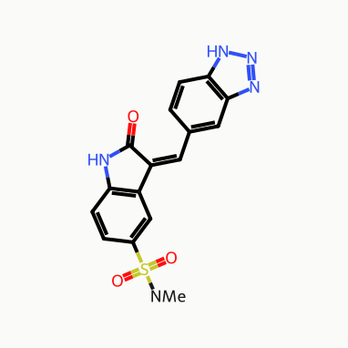 CNS(=O)(=O)c1ccc2c(c1)C(=Cc1ccc3[nH]nnc3c1)C(=O)N2